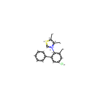 Cc1cccc(-c2ccccc2)c1-[n+]1csc(C)c1C.[Cl-]